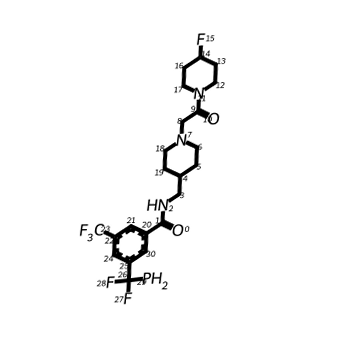 O=C(NCC1CCN(CC(=O)N2CCC(F)CC2)CC1)c1cc(C(F)(F)F)cc(C(F)(F)P)c1